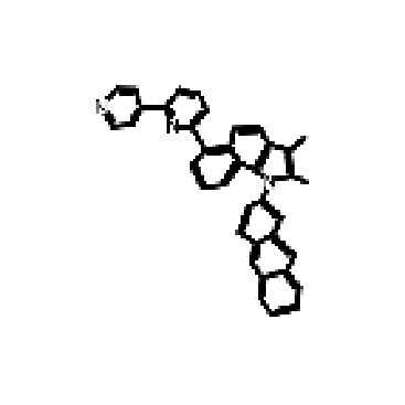 Cc1c(C)n(-c2ccc3cc4ccccc4cc3c2)c2c1ccc1c(-c3cccc(-c4ccncc4)n3)cccc12